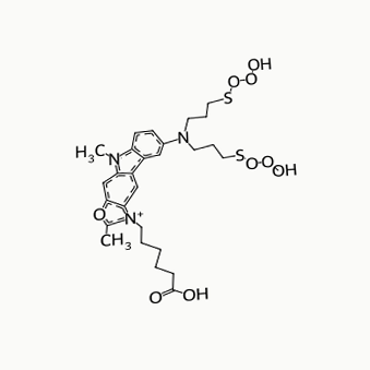 Cc1oc2cc3c(cc2[n+]1CCCCCC(=O)O)c1cc(N(CCCSOOO)CCCSOOO)ccc1n3C